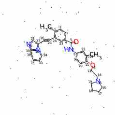 Cc1ccc(C(=O)Nc2ccc(OCCN3CCCC3)c(C)c2)cc1C#Cc1cnc2ccccn12